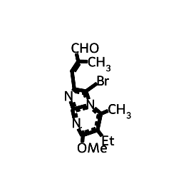 CCc1c(OC)nc2nc(C=C(C)C=O)c(Br)n2c1C